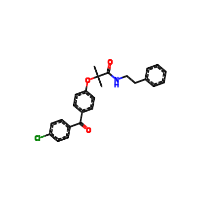 CC(C)(Oc1ccc(C(=O)c2ccc(Cl)cc2)cc1)C(=O)NCCc1ccccc1